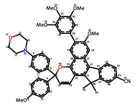 COc1ccc(C2(c3ccc(N4CCOCC4)cc3)C=Cc3c4c(c5cc(OC)c(-c6cc(OC)c(OC)c(OC)c6)cc5c3O2)-c2ccc(C#N)cc2C4(C)C)cc1